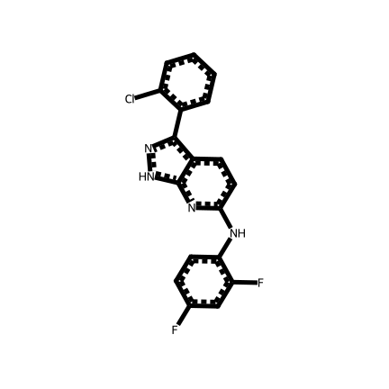 Fc1ccc(Nc2ccc3c(-c4ccccc4Cl)n[nH]c3n2)c(F)c1